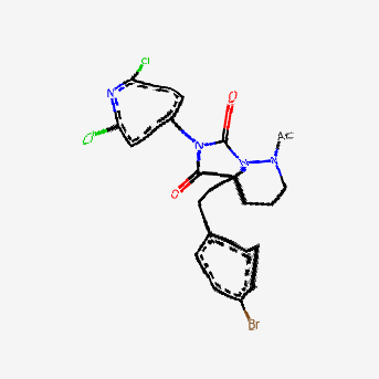 CC(=O)N1CCCC2(Cc3ccc(Br)cc3)C(=O)N(c3cc(Cl)nc(Cl)c3)C(=O)N12